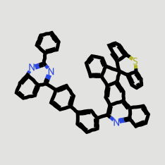 c1ccc(-c2nc(-c3ccc(-c4cccc(-c5nc6ccccc6c6cc7c(cc56)-c5ccccc5C75c6ccccc6Sc6ccccc65)c4)cc3)c3ccccc3n2)cc1